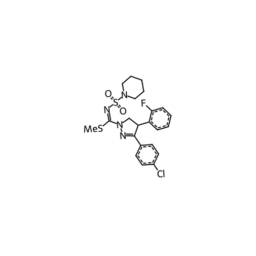 CSC(=NS(=O)(=O)N1CCCCC1)N1CC(c2ccccc2F)C(c2ccc(Cl)cc2)=N1